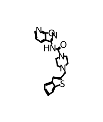 O=C(Nc1noc2ncccc12)N1CCN(Cc2cc3ccccc3s2)CC1